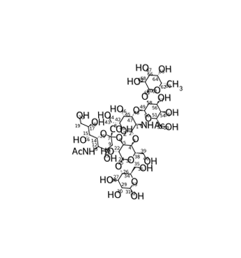 CC(=O)N[C@H]1[C@H](O[C@@H]2[C@H](O[C@]3(C(=O)O)C[C@H](O)[C@@H](NC(C)=O)[C@H]([C@H](O)[C@H](O)CO)O3)[C@@H](O)[C@H](O[C@H]3[C@H](O)[C@@H](O)[C@H](O)O[C@@H]3CO)O[C@@H]2CO)O[C@H](CO)[C@H](O)[C@@H]1O[C@@H]1O[C@H](CO)[C@H](O)[C@H](O)[C@H]1O[C@@H]1O[C@@H](C)[C@@H](O)[C@@H](O)[C@@H]1O